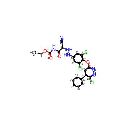 CCOC(=O)NC(=O)C(C#N)NNc1cc(Cl)c(Oc2cc(-c3ccccc3)c(Cl)nn2)c(Cl)c1